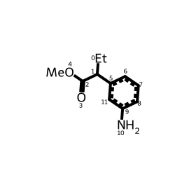 CCC(C(=O)OC)c1cccc(N)c1